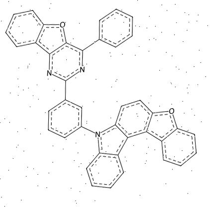 c1ccc(-c2nc(-c3cccc(-n4c5ccccc5c5c6c(ccc54)oc4ccccc46)c3)nc3c2oc2ccccc23)cc1